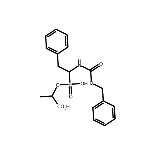 CC(OP(=O)(O)C(Cc1ccccc1)NC(=O)OCc1ccccc1)C(=O)O